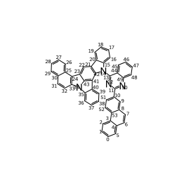 c1ccc2c(c1)ccc1cc(-c3nc(-n4c5ccccc5c5cc6c7c8ccccc8ccc7n7c8ccccc8c(c54)c67)c4ccccc4n3)ccc12